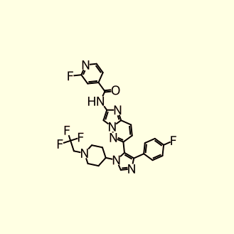 O=C(Nc1cn2nc(-c3c(-c4ccc(F)cc4)ncn3C3CCN(CC(F)(F)F)CC3)ccc2n1)c1ccnc(F)c1